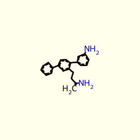 C=C(N)CCc1cc(-c2ccccc2)ccc1-c1cccc(N)c1